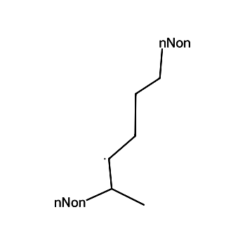 CCCCCCCCCCCC[CH]C(C)CCCCCCCCC